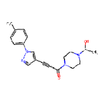 CB(O)N1CCN(C(=O)C#Cc2cnn(-c3ccc(C(F)(F)F)cc3)c2)CC1